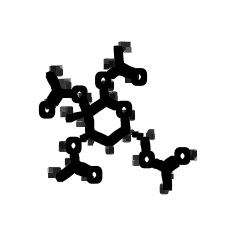 CC(=O)OC[C@@H]1C[C@H](OC(C)=O)[C@](C)(OC(C)=O)C(OC(C)=O)O1